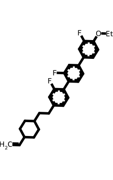 C=CC1CCC(CCc2ccc(-c3ccc(-c4ccc(OCC)c(F)c4)cc3F)c(F)c2)CC1